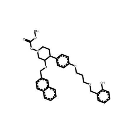 CC(C)(C)OC(=O)ON1CCC(c2ccc(OCCCOCc3ccccc3O)cc2)C(OCc2ccc3ccccc3c2)C1